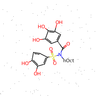 CCCCCCCCN(C(=O)c1cc(O)c(O)c(O)c1)S(=O)(=O)c1ccc(O)c(O)c1